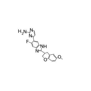 COc1ccc2c(c1)CC(c1nc3cc(F)c(-c4ccnc(N)n4)cc3[nH]1)CO2